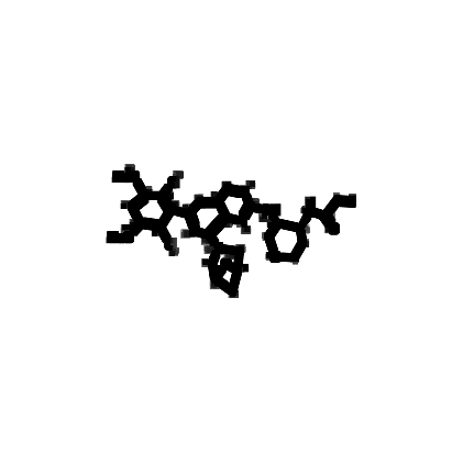 C=CC(=O)N[C@H]1CCOC[C@H]1Nc1ncc2cc(-c3c(Cl)c(OC)cc(OC)c3Cl)nc(N3CC4CC(C3)O4)c2n1